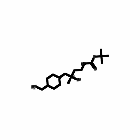 CC(C)(C)OC(=O)NCC[C@](C)(S)CN1CCC(CN)CC1